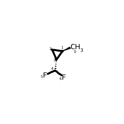 C[C@@H]1C[C@H]1C(F)F